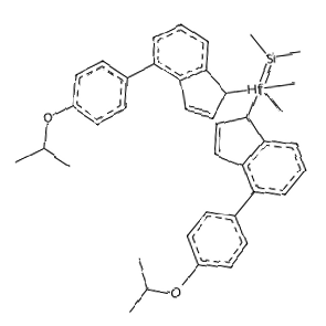 CC(C)Oc1ccc(-c2cccc3c2C=C[CH]3[Hf]([CH3])([CH3])([CH]2C=Cc3c(-c4ccc(OC(C)C)cc4)cccc32)=[Si](C)C)cc1